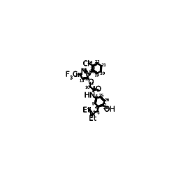 CCN(CC)Cc1cc(NC(=O)COc2cc(C(F)(F)F)nn2-c2ccccc2Cl)ccc1O